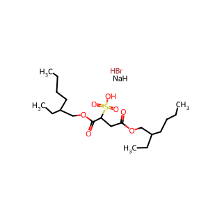 Br.CCCCC(CC)COC(=O)CC(C(=O)OCC(CC)CCCC)S(=O)(=O)O.[NaH]